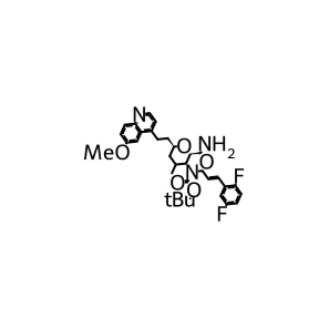 COc1ccc2nccc(CC[C@@H]3CC(C)[C@@H](N(C/C=C/c4cc(F)ccc4F)C(=O)OC(C)(C)C)[C@H](C(N)=O)O3)c2c1